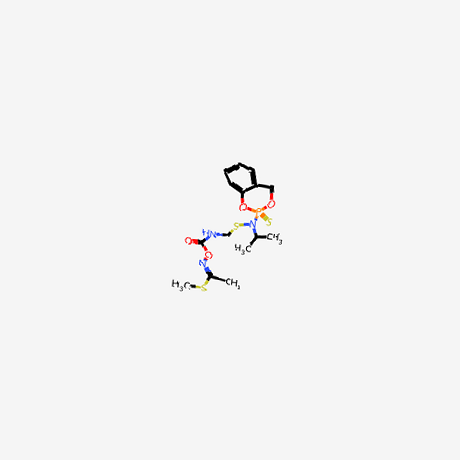 CS/C(C)=N/OC(=O)NCSN(C(C)C)P1(=S)OCc2ccccc2O1